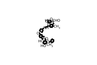 Cc1ccc(NCCNCC2CCN(C(=O)c3ccc4c(c3)CN(C(=O)c3c(O)cc(O)c(C)c3OCc3ccccc3)C4)CC2)cc1CN(C=O)C1CCC(=O)NC1=O